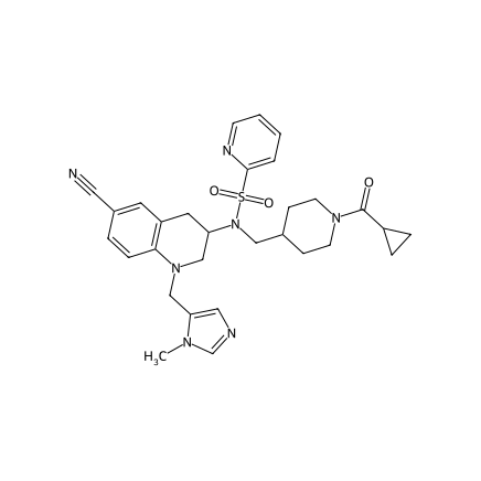 Cn1cncc1CN1CC(N(CC2CCN(C(=O)C3CC3)CC2)S(=O)(=O)c2ccccn2)Cc2cc(C#N)ccc21